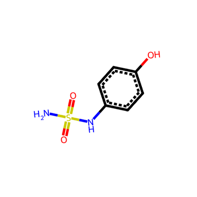 NS(=O)(=O)Nc1ccc(O)cc1